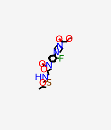 COCC(=O)N1CCN(c2ccc(N3CC(CNC(=S)OC(C)C)OC3=O)cc2F)CC1